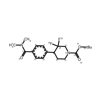 CN(C)C(=O)c1ccc(C2CCN(C(=O)OC(C)(C)C)CC2(F)F)cc1